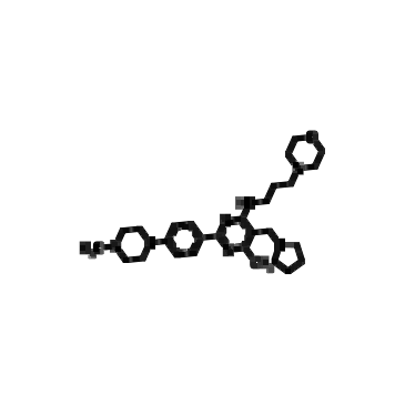 Cc1nc(-c2ccc(N3CCN(C)CC3)cc2)nc(NCCCN2CCOCC2)c1CN1CCCC1